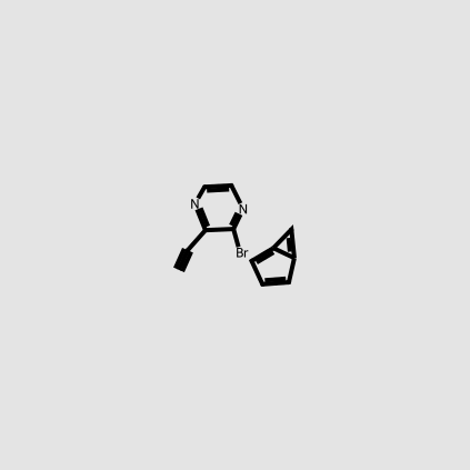 C#Cc1nccnc1Br.c1cc2cc-2c1